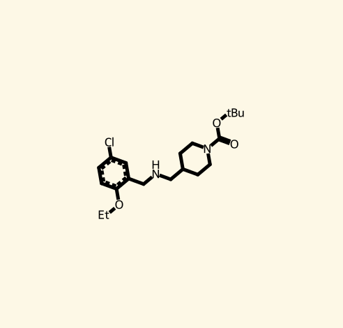 CCOc1ccc(Cl)cc1CNCC1CCN(C(=O)OC(C)(C)C)CC1